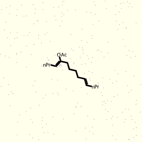 CCCC=CCCCC/C(=C/CCC)OC(C)=O